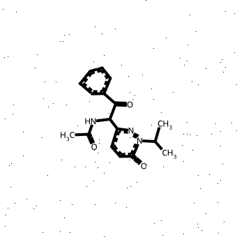 CC(=O)NC(C(=O)c1ccccc1)c1ccc(=O)n(C(C)C)n1